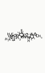 COc1ccc(NC(=O)Nc2cc(F)cc(OCC(C)(C)NC(C)=O)c2)cn1